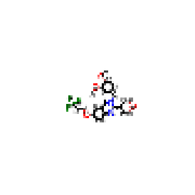 COc1ccc(CN2C=c3cc(OCCC(F)(F)F)ccc3=NC2C2CCOCC2)cc1OC